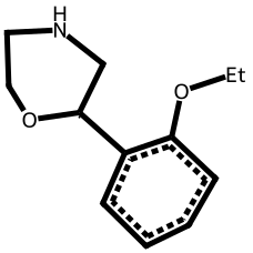 CCOc1ccccc1[C]1CNCCO1